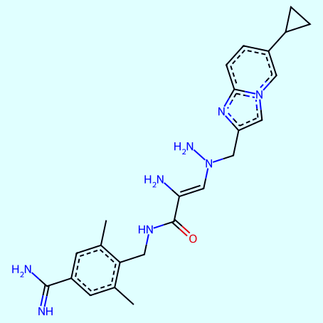 Cc1cc(C(=N)N)cc(C)c1CNC(=O)/C(N)=C/N(N)Cc1cn2cc(C3CC3)ccc2n1